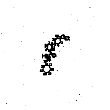 CCOc1ccc(-c2cncc(C(=O)N/N=C/C3CCCCCC3)n2)cc1